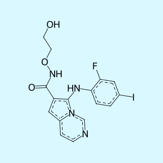 O=C(NOCCO)c1cc2ccncn2c1Nc1ccc(I)cc1F